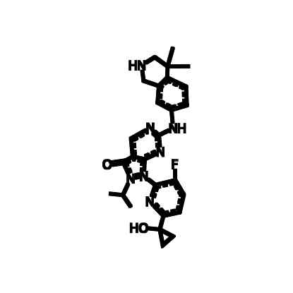 CC(C)n1c(=O)c2cnc(Nc3ccc4c(c3)CNCC4(C)C)nc2n1-c1nc(C2(O)CC2)ccc1F